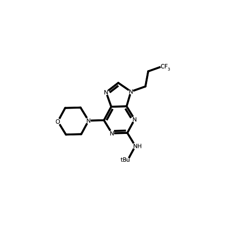 CC(C)(C)Nc1nc(N2CCOCC2)c2ncn(CCC(F)(F)F)c2n1